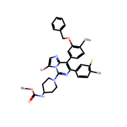 COc1ccc(-c2c(-c3ccc(C#N)c(F)c3)nc(N3CCC(NC(=O)OC(C)(C)C)CC3)n3c(Br)cnc23)cc1OCc1ccccc1